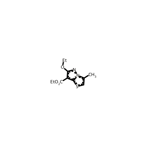 CCOC(=O)c1c(OCC)nn2c(C)csc12